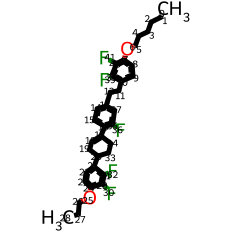 CCCCCCOc1ccc(CCc2ccc(C3=CCC(c4ccc(OCCC)c(F)c4F)CC3)c(F)c2)c(F)c1F